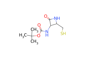 CC(C)(C)OC(=O)NC1C(=O)NC1CS